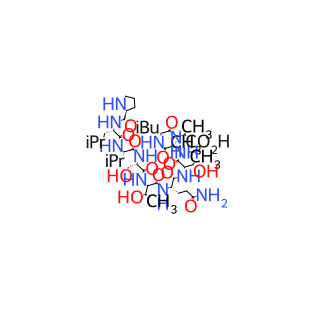 CC[C@H](C)[C@H](NC(=O)[C@H](C)NC(=O)[C@@H](NC(=O)[C@H](CCC(N)=O)NC(=O)[C@@H](NC(=O)[C@H](CO)NC(=O)[C@@H](NC(=O)[C@H](CC(C)C)NC(=O)[C@@H]1CCCN1)C(C)C)[C@@H](C)O)[C@@H](C)O)C(=O)N[C@@H](C)C(=O)O